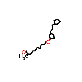 CC([C]=O)CCCCCCCCOC1CCC(CCCC2C[CH]CC2)C1